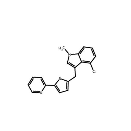 Cn1cc(Cc2ccc(-c3ccccn3)s2)c2c(Cl)cccc21